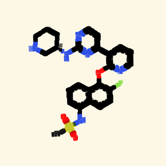 CCCS(=O)(=O)Nc1cccc2c(Oc3ncccc3-c3ccnc(N[C@H]4CCCNC4)n3)c(F)ccc12